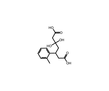 Cc1ccccc1C(CC(=O)O)CC(O)(O)CC(=O)O